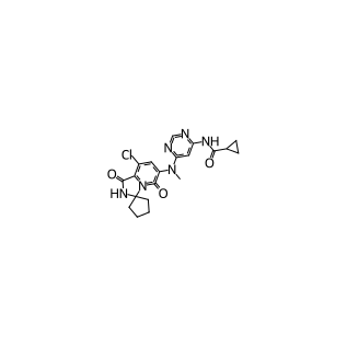 CN(c1cc(NC(=O)C2CC2)ncn1)c1cc(Cl)c2n(c1=O)C1(CCCC1)NC2=O